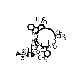 CC[C@@H]1C[C@]1(NC(=O)[C@@H]1C[C@@H]2CN1C(=O)[C@H](C1CCCCC1)NC(=O)OCC(C)(C)CC=Cc1cc3c(nc4c(c3cc1OC)CCCC4)O2)C(=O)NS(=O)(=O)C1CC1